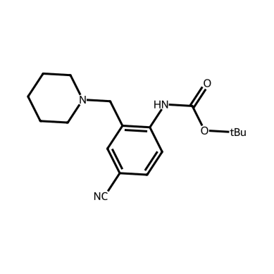 CC(C)(C)OC(=O)Nc1ccc(C#N)cc1CN1CCCCC1